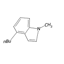 [CH2]CCCc1cccc2c1ccn2C